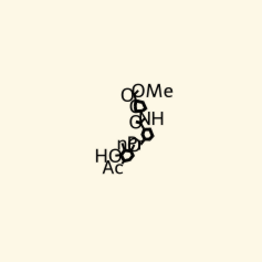 CCCc1c(OCc2cccc(C(=O)Nc3ccc(C(=O)OC)cc3)c2)ccc(C(C)=O)c1O